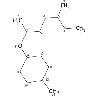 CCC(C)CCC(C)OC1CCC(C)CC1